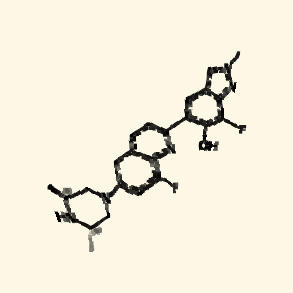 C[C@H]1CN(c2cc(F)c3nc(-c4cc5cn(C)nc5c(F)c4O)ccc3c2)C[C@H](C)N1